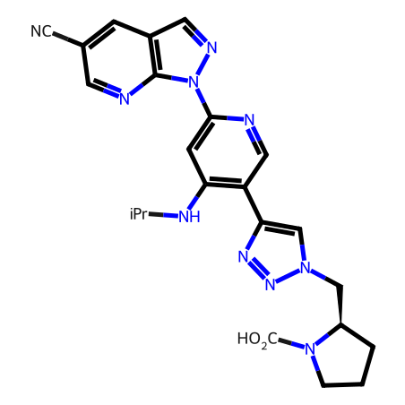 CC(C)Nc1cc(-n2ncc3cc(C#N)cnc32)ncc1-c1cn(C[C@H]2CCCN2C(=O)O)nn1